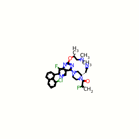 C=C(F)C(=O)N1CCN(c2nc(O[C@H](C)CN(C)C)nc3c(F)c(-c4cccc5cccc(Cl)c45)ncc23)C[C@@H]1CC#N